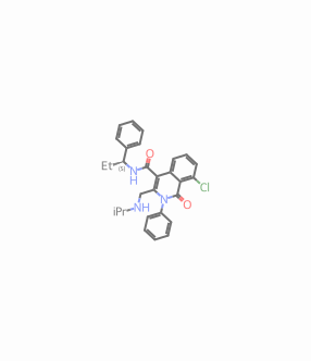 CC[C@H](NC(=O)c1c(CNC(C)C)n(-c2ccccc2)c(=O)c2c(Cl)cccc12)c1ccccc1